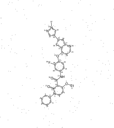 CCOc1ccn(-c2ccccc2)c(=O)c1C(=O)Nc1ccc(Oc2ccnc3cc(-c4cnn(C)c4)sc23)c(F)c1